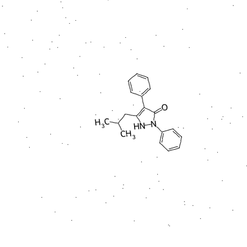 CC(C)Cc1[nH]n(-c2ccccc2)c(=O)c1-c1ccccc1